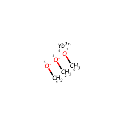 C[O-].C[O-].C[O-].[Yb+3]